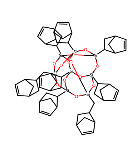 C1=CC2CC1CC2C[Si]12O[Si]3(C4CC5C=CC4C5)O[Si]4(CC5CC6C=CC5C6)O[Si](C5CC6C=CC5C6)(O1)O[Si]1(C5CC6C=CC5C6)O[Si](C5CC6C=CC5C6)(O2)O[Si](C2CC5C=CC2C5)(O3)O[Si](C2CC3C=CC2C3)(O4)O1